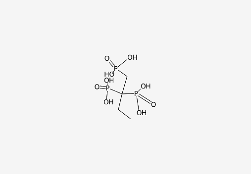 CCC(CP(=O)(O)O)(P(=O)(O)O)P(=O)(O)O